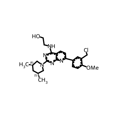 COc1ccc(-c2ccc3c(NCCO)nc(N4C[C@H](C)C[C@H](C)C4)nc3n2)cc1CCl